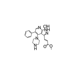 COC(=O)C=Cc1n[nH]c2ncc(-c3ccccc3)c(N3CCNCC3)c12.Cl